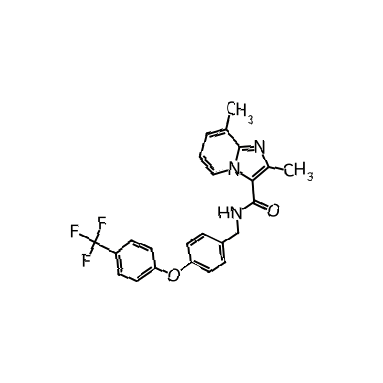 Cc1nc2c(C)cccn2c1C(=O)NCc1ccc(Oc2ccc(C(F)(F)F)cc2)cc1